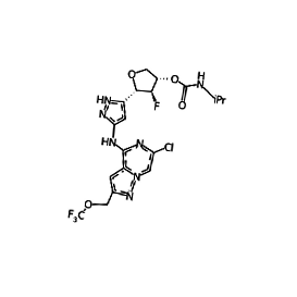 CC(C)NC(=O)O[C@H]1CO[C@@H](c2cc(Nc3nc(Cl)cn4nc(COC(F)(F)F)cc34)n[nH]2)[C@@H]1F